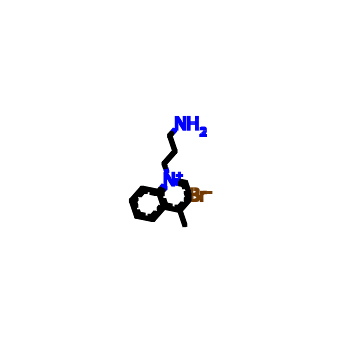 Cc1cc[n+](CCCN)c2ccccc12.[Br-]